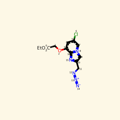 CCOC(=O)COc1cc(Cl)cn2cc(CN=[N+]=[N-])nc12